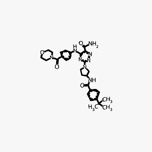 CC(C)(C)c1ccc(C(=O)NC2CCN(c3nnc(C(N)=O)c(Nc4ccc(C(=O)N5CCOCC5)cc4)n3)C2)cc1